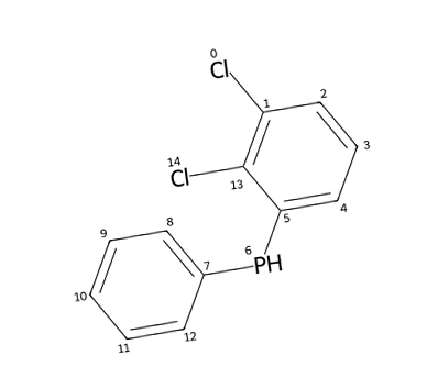 Clc1cccc(Pc2ccccc2)c1Cl